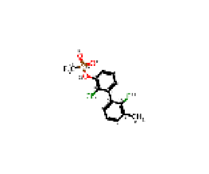 Cc1cccc(-c2cccc(OS(=O)(=O)C(F)(F)F)c2Cl)c1F